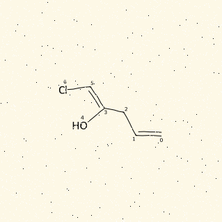 C=CCC(O)=CCl